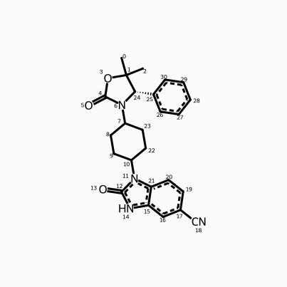 CC1(C)OC(=O)N(C2CCC(n3c(=O)[nH]c4cc(C#N)ccc43)CC2)[C@H]1c1ccccc1